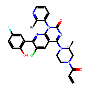 C=CC(=O)N1CCN(c2nc(=O)n(-c3cccnc3C(C)C)c3nc(-c4cc(F)ccc4O)c(Cl)cc23)[C@@H](C)C1